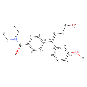 CCN(CC)C(=O)c1ccc(/C(=C/CCBr)c2cccc(OC)c2)cc1